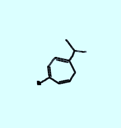 CC(C)C1=CC=C(Br)C=CC1